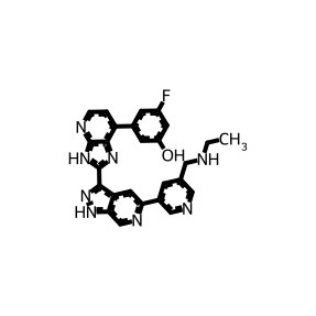 CCNCc1cncc(-c2cc3c(-c4nc5c(-c6cc(O)cc(F)c6)ccnc5[nH]4)n[nH]c3cn2)c1